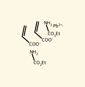 C=CC(=O)[O-].C=CC(=O)[O-].CCOC(N)=O.CCOC(N)=O.[Pb+2]